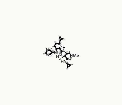 CN/C=C(/NC(=O)c1nc(C2CC2)ccc1Nc1cncnc1)C(N)C(=O)NC1CC1